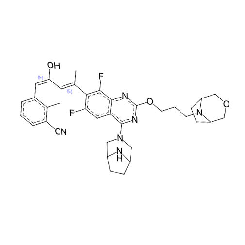 C/C(=C\C(O)=C/c1cccc(C#N)c1C)c1c(F)cc2c(N3CC4CCC(C3)N4)nc(OCCCN3C4CCC3COC4)nc2c1F